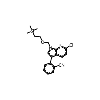 C[Si](C)(C)CCOCn1cc(-c2ccccc2C#N)c2ccc(Cl)nc21